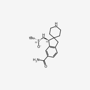 CC(C)(C)[S@@+]([O-])N[C@@H]1c2cc(C(N)=O)ccc2CC12CCNCC2